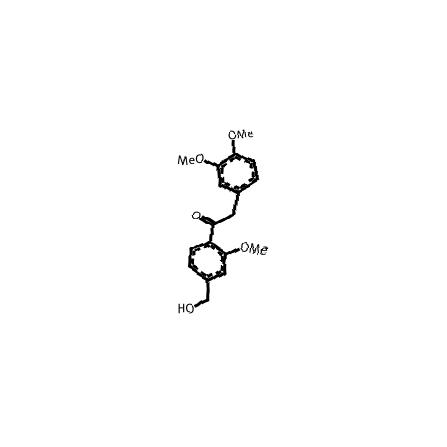 COc1ccc(CC(=O)c2ccc(CO)cc2OC)cc1OC